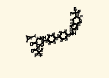 O=C(N[C@@H](CC1CC1)C(=O)OC(=O)C(F)(F)F)c1ccc(-c2ccc(Nc3nc4ncc(C(F)(F)F)cc4s3)cc2)cc1